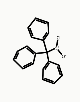 [O-][S+](Cl)C(c1ccccc1)(c1ccccc1)c1ccccc1